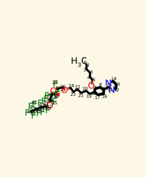 CCCCCCOc1cc(-c2ncccn2)ccc1CCCCCCOCC(F)(F)OC(F)(F)C(F)(F)OC(F)(F)C(F)(F)C(F)(F)C(F)(F)F